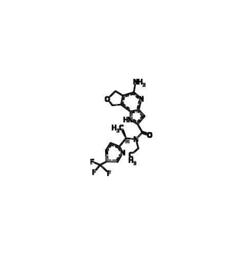 CCN(C(=O)c1cc2nc(N)c3c(c2[nH]1)COC3)[C@H](C)c1ccc(C(F)(F)F)cn1